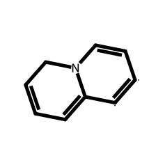 [C]1=[C]C2=CC=CCN2C=C1